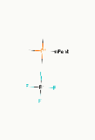 CCCCC[P+](C)(C)C.F[B-](F)(F)F